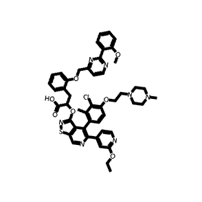 CCOc1cc(-c2ncc3snc(OC(Cc4ccccc4OCc4ccnc(-c5ccccc5OC)n4)C(=O)O)c3c2-c2ccc(OCCN3CCN(C)CC3)c(Cl)c2C)ccn1